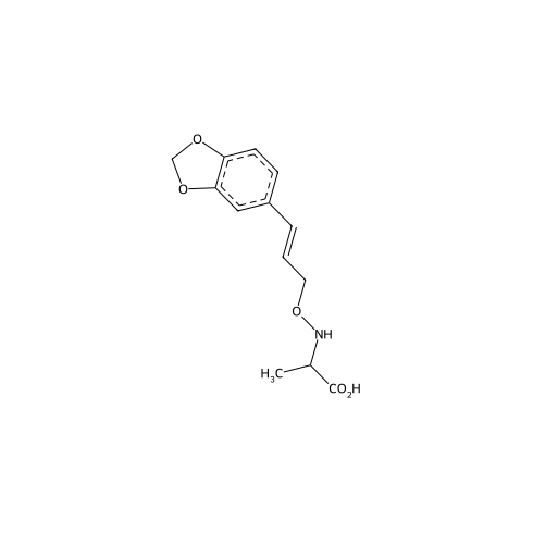 CC(NOCC=Cc1ccc2c(c1)OCO2)C(=O)O